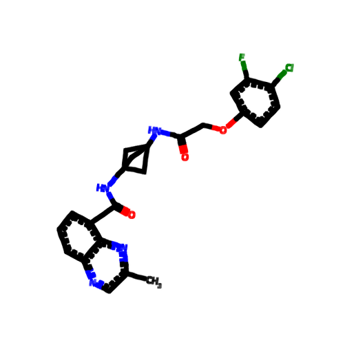 Cc1cnc2cccc(C(=O)NC34CC(NC(=O)COc5ccc(Cl)c(F)c5)(C3)C4)c2n1